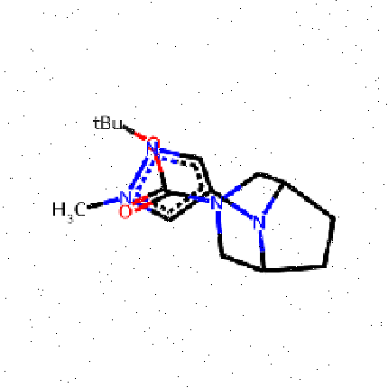 Cn1cc(N2C3CCC2CN(C(=O)OC(C)(C)C)C3)cn1